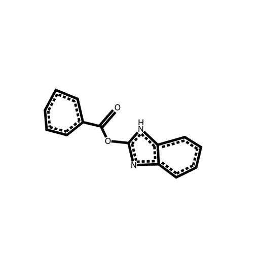 O=C(Oc1nc2ccccc2[nH]1)c1ccccc1